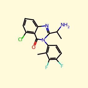 Cc1c(-n2c(C(C)N)nc3cccc(Cl)c3c2=O)ccc(F)c1F